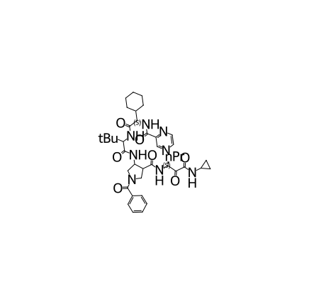 CCC[C@H](NC(=O)C1CN(C(=O)c2ccccc2)CC1NC(=O)C(NC(=O)[C@@H](NC(=O)c1cnccn1)C1CCCCC1)C(C)(C)C)C(=O)C(=O)NC1CC1